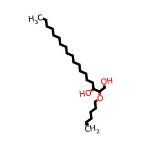 C=CCCCCOC(CO)C(O)CCCCCCCCCCCCCCCC